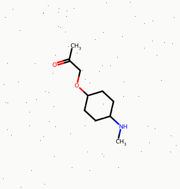 CNC1CCC(OCC(C)=O)CC1